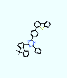 CC1(C)c2ccccc2-c2c(-c3nc(-c4ccccc4)nc(-c4ccc(-c5cccc6c5sc5ccccc56)cc4)n3)cccc21